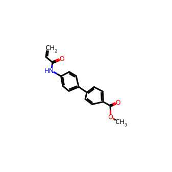 C=CC(=O)Nc1ccc(-c2ccc(C(=O)OC)cc2)cc1